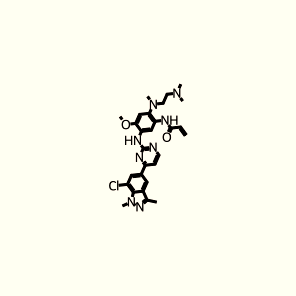 C=CC(=O)Nc1cc(Nc2nccc(-c3cc(Cl)c4c(c3)c(C)nn4C)n2)c(OC)cc1N(C)CCN(C)C